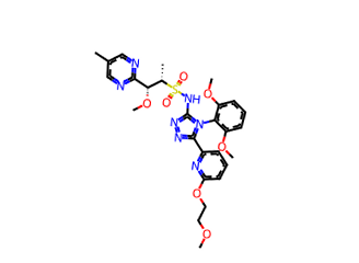 COCCOc1cccc(-c2nnc(NS(=O)(=O)[C@@H](C)[C@H](OC)c3ncc(C)cn3)n2-c2c(OC)cccc2OC)n1